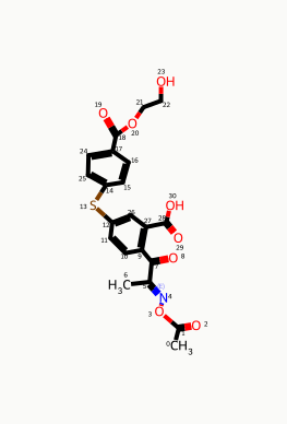 CC(=O)O/N=C(\C)C(=O)c1ccc(Sc2ccc(C(=O)OCCO)cc2)cc1C(=O)O